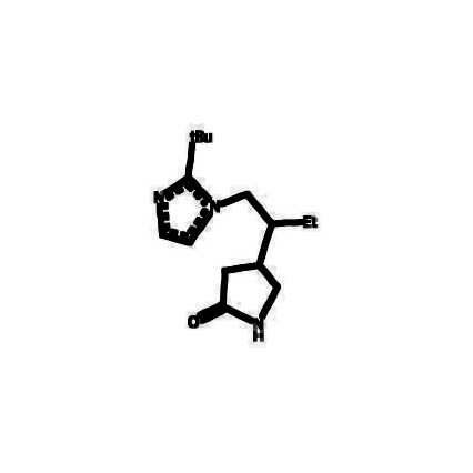 CCC(Cn1ccnc1C(C)(C)C)C1CNC(=O)C1